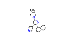 CC1CCN(c2cc(-c3ccncc3)c(-c3cccc4ccccc34)nn2)CC1